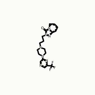 O=c1n(CCCN2CCN(c3cncc(C(F)(F)F)n3)CC2)nc2ccccn12